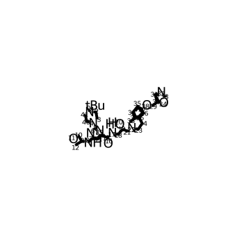 CC(C)(C)N1CCN(c2nc(NC3COC3)cc(C(=O)NCC(O)CN3CCc4cc(OCc5cnco5)ccc4C3)n2)CC1